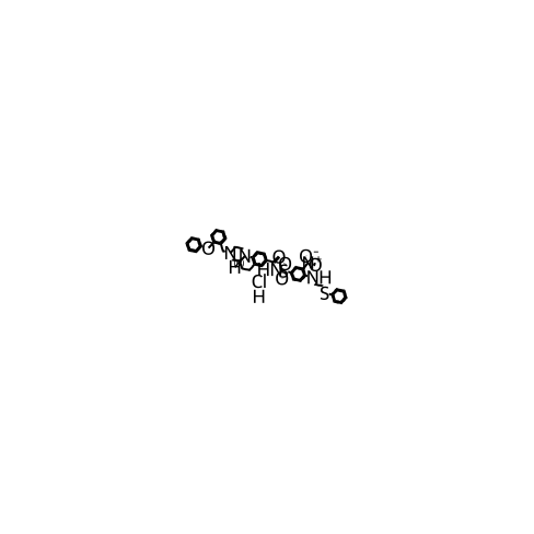 Cl.O=C(NS(=O)(=O)c1ccc(NCCSc2ccccc2)c([N+](=O)[O-])c1)c1ccc2c(c1)CC[C@@H]1CN(Cc3ccccc3Oc3ccccc3)CCN21